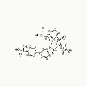 CC(C)(O)c1ncc(-c2ccc3nc4n(c3c2)[C@@H]2C[C@H]4N(CC(=O)O)C(=O)c3cccc(OC(F)F)c32)cn1